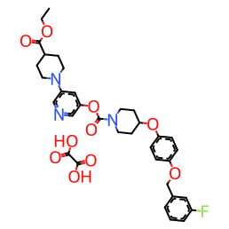 CCOC(=O)C1CCN(c2cncc(OC(=O)N3CCC(Oc4ccc(OCc5cccc(F)c5)cc4)CC3)c2)CC1.O=C(O)C(=O)O